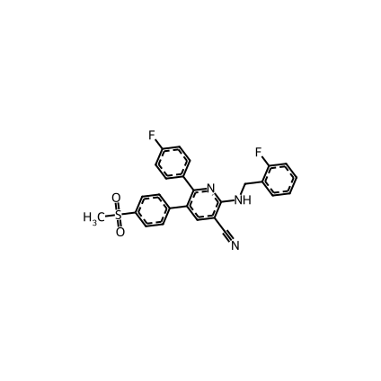 CS(=O)(=O)c1ccc(-c2cc(C#N)c(NCc3ccccc3F)nc2-c2ccc(F)cc2)cc1